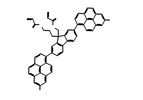 C=CC(=O)OCCCC1(COC(=O)C=C)c2cc(-c3ccc4ccc5cc(C(C)(C)C)cc6ccc3c4c56)ccc2-c2ccc(-c3ccc4ccc5cc(C(C)(C)C)cc6ccc3c4c56)cc21